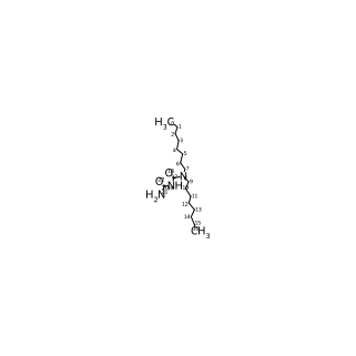 CCCCCCCCN(CCCCCCCC)C(=O)NC(N)=O